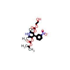 CC1=C(OC(=O)OCCO)C(c2cccc([N+](=O)[O-])c2)C(OC(=O)OC(C)C)=C(C)N1